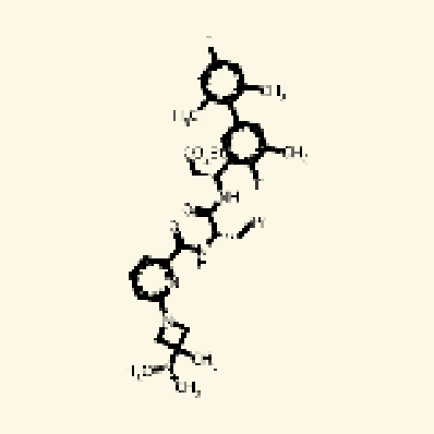 CCOC(=O)C[C@H](NC(=O)[C@H](CC(C)C)NC(=O)c1cccc(N2CC(C)(N(C)C)C2)n1)c1cc(-c2c(C)cc(F)cc2C)cc(C)c1F